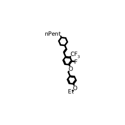 CCCCCC1CCC(/C=C/c2ccc(OCc3ccc(OCC)cc3)c(F)c2C(F)(F)F)CC1